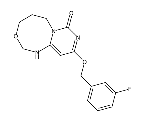 O=c1nc(OCc2cccc(F)c2)cc2n1CCCOCN2